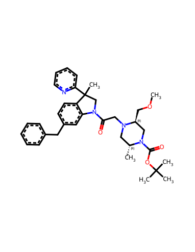 COC[C@H]1CN(C(=O)OC(C)(C)C)[C@H](C)CN1CC(=O)N1CC(C)(c2ccccn2)c2ccc(Cc3ccccc3)cc21